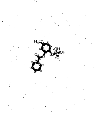 Cc1ccc(OP(=O)(O)O)c(OC(=O)c2ccccc2)c1